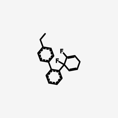 CCc1ccc(-c2ccccc2C2(F)C=CCC=C2F)cc1